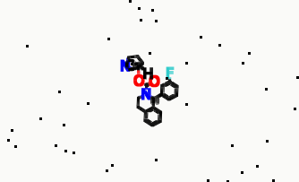 O=C(O[C@@H]1CN2CCC1CC2)N1CCc2ccccc2[C@@H]1c1cccc(F)c1